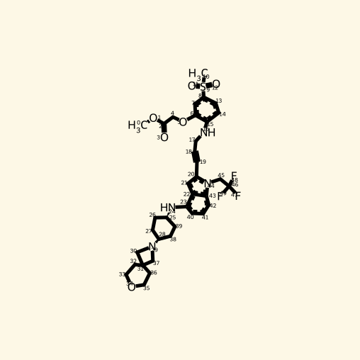 COC(=O)COc1cc(S(C)(=O)=O)ccc1NCC#Cc1cc2c(N[C@H]3CC[C@H](N4CC5(CCOCC5)C4)CC3)cccc2n1CC(F)(F)F